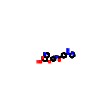 O=C(O)CC(Oc1ccc(NC(=O)c2ccc(Nc3ccccn3)cc2)cc1)c1cccnc1